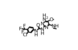 CCNc1nc(NC(=O)Nc2ccc(C(F)(F)F)c(Cl)c2)nc(N)c1OC